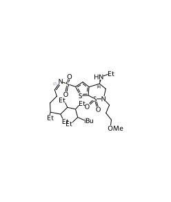 CCN[C@H]1CN(CCCOC)S(=O)(=O)c2sc(S(=O)(=O)/N=C\CCC(CC)C(CC)C(CC)C(CC)C(CC)C(C)CC)cc21